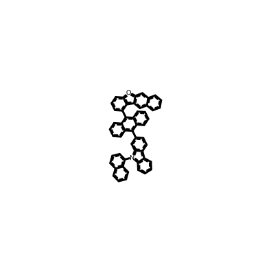 c1ccc2cc3c(cc2c1)oc1cccc(-c2c4ccccc4c(-c4ccc5c6ccccc6n(-c6cccc7ccccc67)c5c4)c4ccccc24)c13